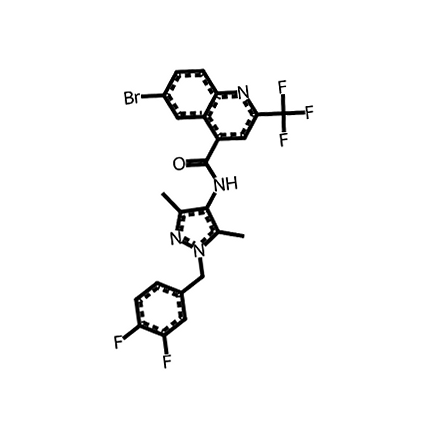 Cc1nn(Cc2ccc(F)c(F)c2)c(C)c1NC(=O)c1cc(C(F)(F)F)nc2ccc(Br)cc12